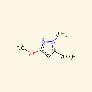 Cn1nc(OC(F)(F)F)cc1C(=O)O